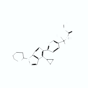 CCC(CC)(NC(=O)OC(C)(C)C)c1ccc(-c2ccc3c(cnn3C3CCCCO3)c2C2CC2)nc1